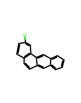 Clc1[c]c2c(cc1)ccc1cc3ccccc3cc12